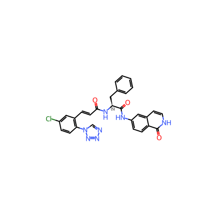 O=C(C=Cc1cc(Cl)ccc1-n1cnnn1)N[C@@H](Cc1ccccc1)C(=O)Nc1ccc2c(=O)[nH]ccc2c1